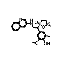 COc1cc(C(CNc2cnc3ccccc3c2)P2(=O)CC[C@@H](C)O2)cc(C)c1O